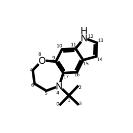 CC(C)(C)N1CCCOc2cc3[nH]ccc3cc21